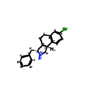 Brc1ccc2c(c1)CCC1[C@@H]2CN[C@@H]1Cc1ccccc1